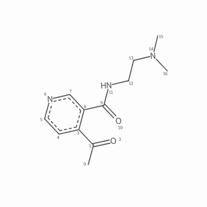 CC(=O)c1ccncc1C(=O)NCCN(C)C